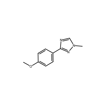 COc1ccc(-c2ncn(C)n2)cc1